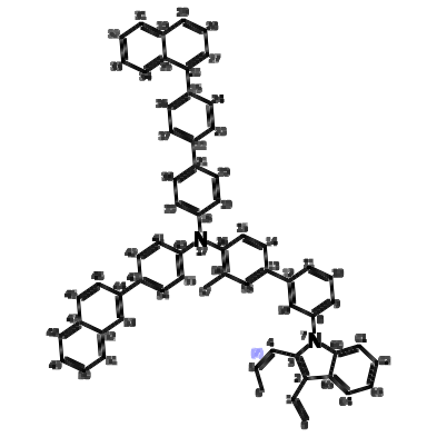 C=Cc1c(/C=C\C)n(-c2cccc(-c3ccc(N(c4ccc(-c5ccc(-c6cccc7ccccc67)cc5)cc4)c4ccc(-c5ccc6ccccc6c5)cc4)c(C)c3)c2)c2ccccc12